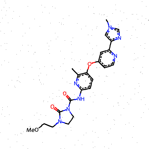 COCCN1CCN(C(=O)Nc2ccc(Oc3ccnc(-c4cn(C)cn4)c3)c(C)n2)C1=O